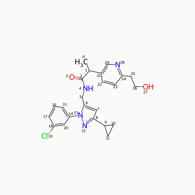 CC(C(=O)NCc1cc(C2CC2)nn1-c1cccc(Cl)c1)c1ccc(CCO)nc1